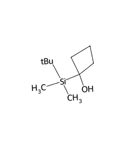 CC(C)(C)[Si](C)(C)C1(O)CCC1